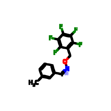 Cc1cccc(/[C]=N\OCc2c(F)c(F)c(F)c(F)c2F)c1